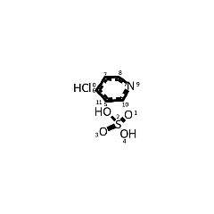 Cl.O=S(=O)(O)O.c1ccncc1